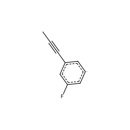 CC#Cc1c[c]cc(F)c1